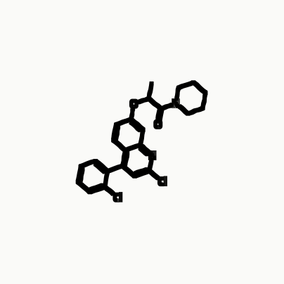 CC(Oc1ccc2c(-c3ccccc3Cl)cc(Cl)nc2c1)C(=O)N1CCCCC1